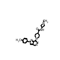 Cc1ccc(-n2cc3cnnc(N4CCC(C(=O)NC5CN(C)C5)CC4)c3n2)cc1